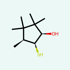 C[C@@H]1[C@H](S)[C@H](O)C(C)(C)C1(C)C